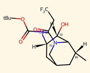 C[C@@H]1CC2C[C@H](NC(=O)OC(C)(C)C)[C@H](O)C1N(C(=O)CC(F)(F)F)C2